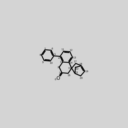 O=C1Cc2c(-c3ccccc3)cccc2C2(C1)CC1=CCC2C1